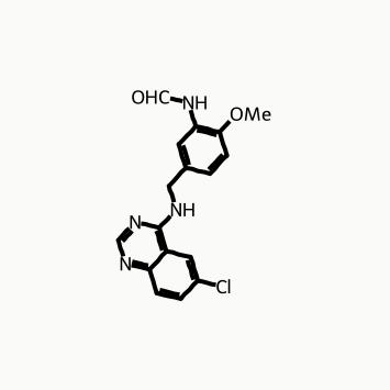 COc1ccc(CNc2ncnc3ccc(Cl)cc23)cc1NC=O